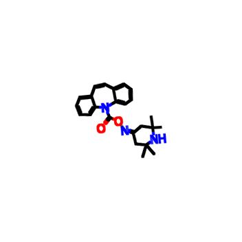 CC1(C)CC(=NOC(=O)N2c3ccccc3C=Cc3ccccc32)CC(C)(C)N1